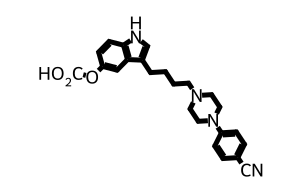 N#Cc1ccc(N2CCN(CCCCc3c[nH]c4ccc(OC(=O)O)cc34)CC2)cc1